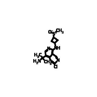 C[S+]([O-])C1CC(Nc2ncc(C(C)(C)N)c3cc(Cl)ncc23)C1